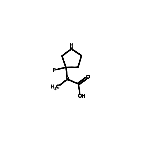 CN(C(=O)O)C1(F)CCNC1